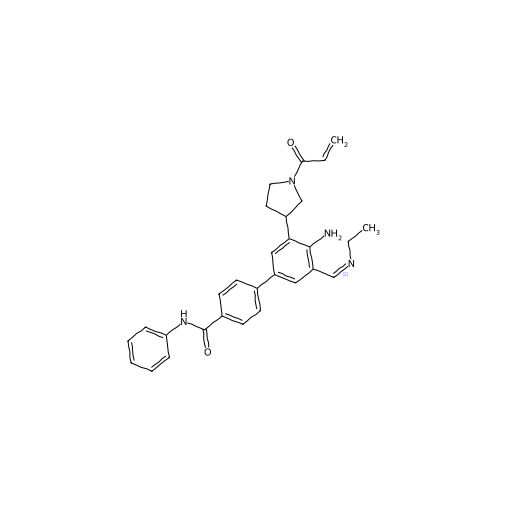 C=CC(=O)N1CCC(c2cc(-c3ccc(C(=O)Nc4ccccc4)cc3)cc(/C=N\CC)c2N)C1